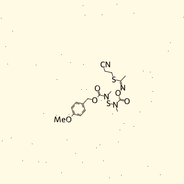 COc1ccc(COC(=O)N(C)SN(C)C(=O)ON=C(C)SCCC#N)cc1